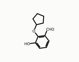 O=Cc1cccc(O)c1OC1CCCC1